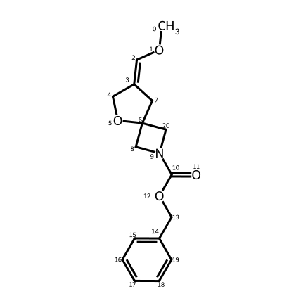 CO/C=C1/COC2(C1)CN(C(=O)OCc1ccccc1)C2